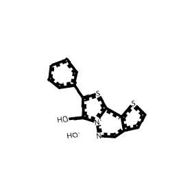 Oc1c(-c2ccccc2)sc2c3sccc3cn[n+]12.[OH-]